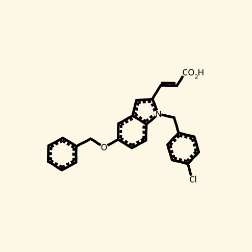 O=C(O)C=Cc1cc2cc(OCc3ccccc3)ccc2n1Cc1ccc(Cl)cc1